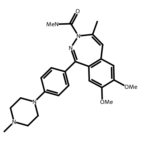 CNC(=O)N1N=C(c2ccc(N3CCN(C)CC3)cc2)c2cc(OC)c(OC)cc2C=C1C